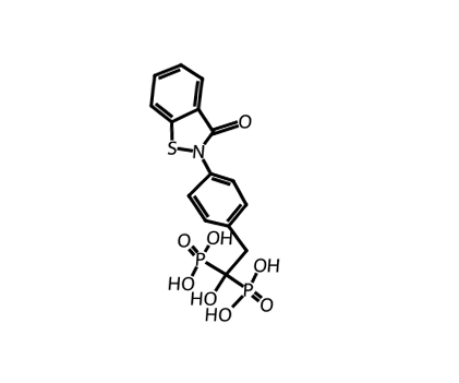 O=c1c2ccccc2sn1-c1ccc(CC(O)(P(=O)(O)O)P(=O)(O)O)cc1